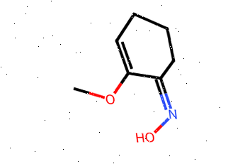 COC1=CCCC/C1=N/O